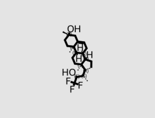 C[C@@H]([C@H]1CC[C@H]2[C@@H]3CC=C4C[C@@](C)(O)CC[C@]4(C)[C@H]3CC[C@]12C)[C@H](O)C(F)(F)F